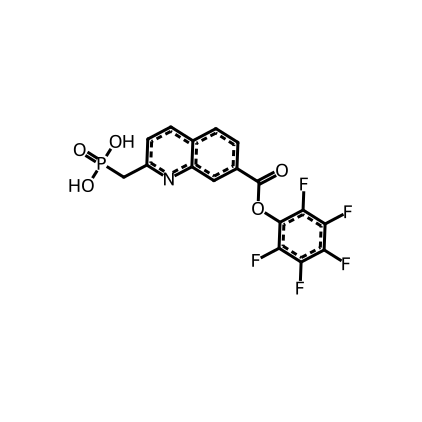 O=C(Oc1c(F)c(F)c(F)c(F)c1F)c1ccc2ccc(CP(=O)(O)O)nc2c1